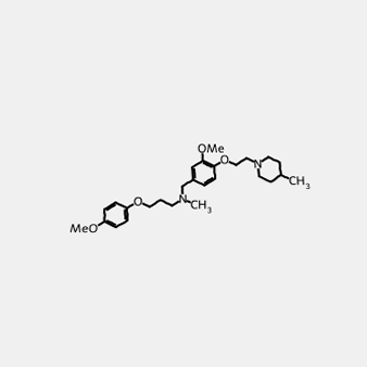 COc1ccc(OCCCN(C)Cc2ccc(OCCN3CCC(C)CC3)c(OC)c2)cc1